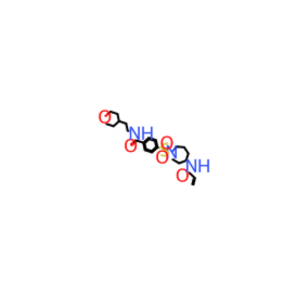 C=CC(=O)NC1CCCN(S(=O)(=O)c2ccc(C(=O)NCCC3CCOCC3)cc2)CC1